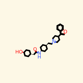 O=C(C[C@H]1CC[C@H](O)CC1)N[C@H]1CC[C@H](CCN2CCC(c3coc4ccccc34)CC2)CC1